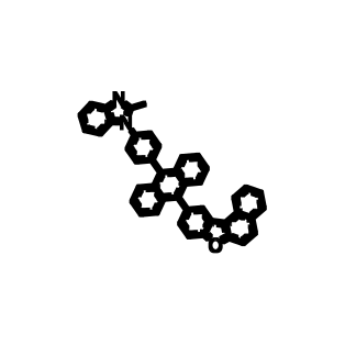 Cc1nc2ccccc2n1-c1ccc(-c2c3ccccc3c(-c3ccc4oc5ccc6ccccc6c5c4c3)c3ccccc23)cc1